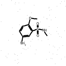 Bc1ccc(OC)c(S(=O)(=O)NC)c1